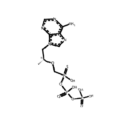 C[C@H](Cn1cnc2c(N)ncnc21)OCP(O)(=S)OP(=O)(O)OP(=O)(O)O